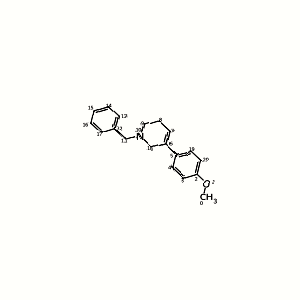 COc1ccc(C2=CCCN(Cc3ccccc3)C2)cc1